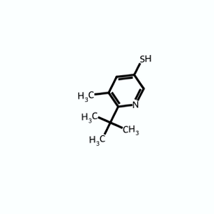 Cc1cc(S)cnc1C(C)(C)C